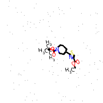 CCOC(=O)c1csc(C2CCCCN(C(=O)OC(C)(C)C)CC2)n1